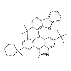 Cc1nc2cc(C(C)(C)C)cc3c2n1-c1cc(C2(C)CCCCC2)cc2c1B3c1c(ccc3c1oc1ccccc13)C2(C)C